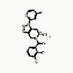 C[C@@H]1Cc2c(nnn2-c2cc(F)ccn2)CN1C(=O)c1cccc(Cl)c1Cl